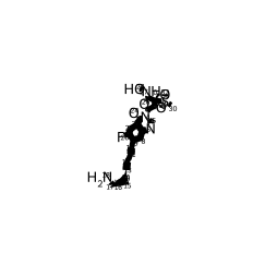 C[C@@](CCn1cnc2cc(C#CC#C[C@@H]3C[C@H]3CN)c(F)cc2c1=O)(C(=O)NO)S(C)(=O)=O